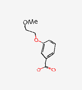 COCCOc1cccc(C([O])=O)c1